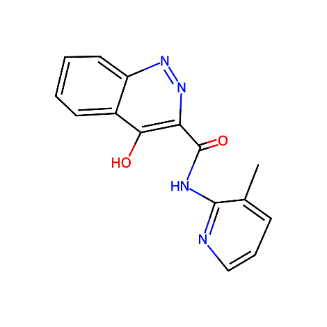 Cc1cccnc1NC(=O)c1nnc2ccccc2c1O